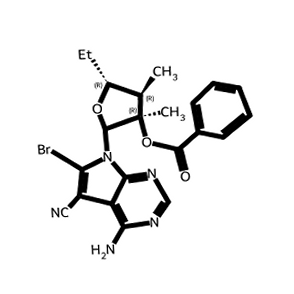 CC[C@H]1OC(n2c(Br)c(C#N)c3c(N)ncnc32)[C@](C)(OC(=O)c2ccccc2)[C@@H]1C